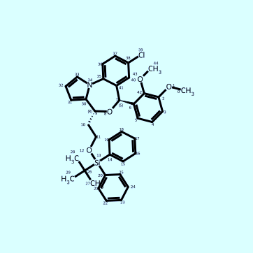 COc1cccc([C@H]2O[C@H](CCO[Si](c3ccccc3)(c3ccccc3)C(C)(C)C)c3cccn3-c3ccc(Cl)cc32)c1OC